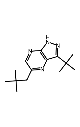 CC(C)(C)Cc1cnc2[nH]nc(C(C)(C)C)c2n1